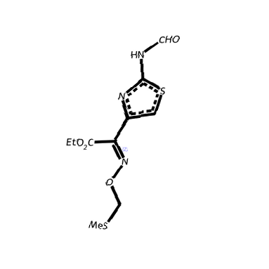 CCOC(=O)/C(=N\OCSC)c1csc(NC=O)n1